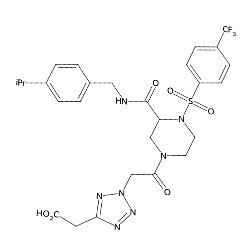 CC(C)c1ccc(CNC(=O)C2CN(C(=O)Cn3nnc(CC(=O)O)n3)CCN2S(=O)(=O)c2ccc(C(F)(F)F)cc2)cc1